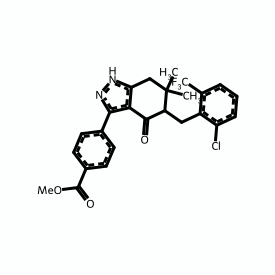 COC(=O)c1ccc(-c2n[nH]c3c2C(=O)C(Cc2c(Cl)cccc2C(F)(F)F)C(C)(C)C3)cc1